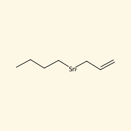 C=C[CH2][Sn][CH2]CCC